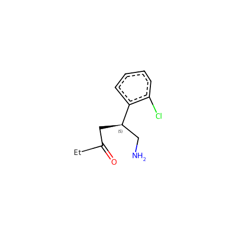 CCC(=O)C[C@H](CN)c1ccccc1Cl